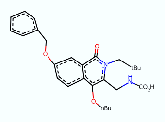 CCCCOc1c(CNC(=O)O)n(CC(C)(C)C)c(=O)c2cc(OCc3ccccc3)ccc12